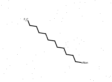 CCCCCCCCCCCCCCCCCCCCC(F)(F)F